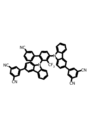 N#Cc1cc(C#N)cc(-c2ccc3c(c2)c2ccccc2n3-c2ccc(-c3cccc(C#N)c3)c(-n3c4ccccc4c4cc(-c5cc(C#N)cc(C#N)c5)ccc43)c2C(F)(F)F)c1